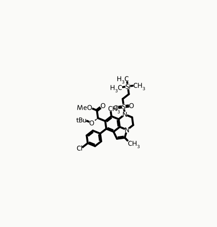 COC(=O)[C@@H](OC(C)(C)C)c1c(C)c2c3c(cc(C)n3CCN2S(=O)(=O)CC[Si](C)(C)C)c1-c1ccc(Cl)cc1